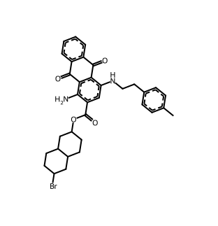 Cc1ccc(CCNc2cc(C(=O)OC3CCC4CC(Br)CCC4C3)c(N)c3c2C(=O)c2ccccc2C3=O)cc1